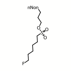 CCCCCCCCCCCCOS(=O)(=O)CCCCCCF